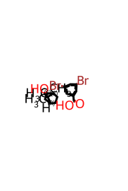 CC1(C)[C@@H]2CC[C@]1(C)[C@@H](O)C2.O=C(O)c1cc(Br)cc(Br)c1